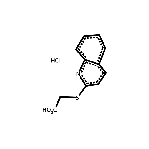 Cl.O=C(O)CSc1ccc2ccccc2n1